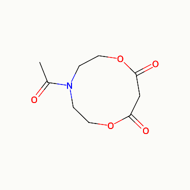 CC(=O)N1CCOC(=O)CC(=O)OCC1